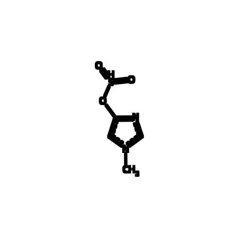 Cn1cnc(O[SH](=O)=O)c1